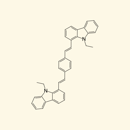 CCn1c2ccccc2c2cccc(C=Cc3ccc(C=Cc4cccc5c6ccccc6n(CC)c45)cc3)c21